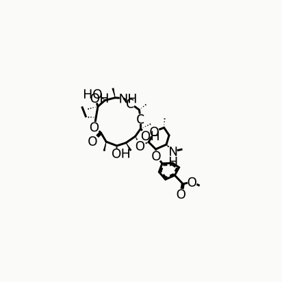 CC[C@H]1OC(=O)[C@H](C)[C@@H](O)[C@H](C)[C@@H](O[C@@H]2O[C@H](C)C[C@H](NC)[C@H]2Oc2ccc(C(=O)OC)cc2)[C@](C)(O)C[C@@H](C)CN[C@H](C)[C@@H](O)[C@]1(C)O